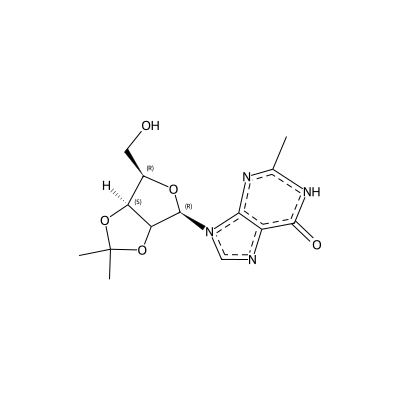 Cc1nc2c(ncn2[C@@H]2O[C@H](CO)[C@@H]3OC(C)(C)OC32)c(=O)[nH]1